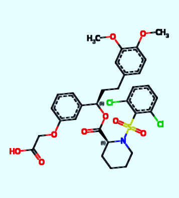 COc1ccc(CC[C@@H](OC(=O)[C@@H]2CCCCN2S(=O)(=O)c2c(Cl)cccc2Cl)c2cccc(OCC(=O)O)c2)cc1OC